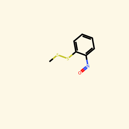 CSSc1ccccc1N=O